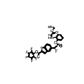 C[C@H](Nc1ccccc1O[PH](=O)[C@H](F)c1ccc2sc(C(=O)Oc3c(F)c(F)c(F)c(F)c3F)cc2c1)C(=O)OCC(C)(C)C